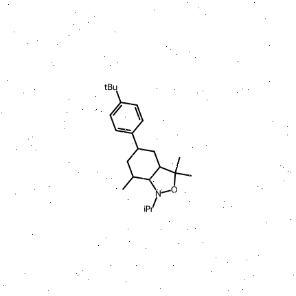 CC1CC(c2ccc(C(C)(C)C)cc2)CC2C1N(C(C)C)OC2(C)C